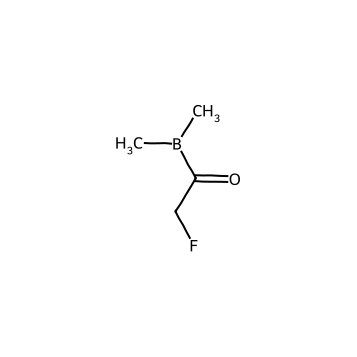 CB(C)C(=O)CF